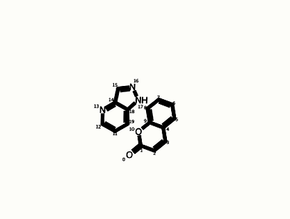 O=c1ccc2ccccc2o1.c1cnc2cn[nH]c2c1